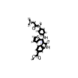 COC(=O)c1ccc2c(c1)NC(=O)/C2=C(\Nc1ccc(N(C)C(=O)CN(C)C)cc1)c1cccs1